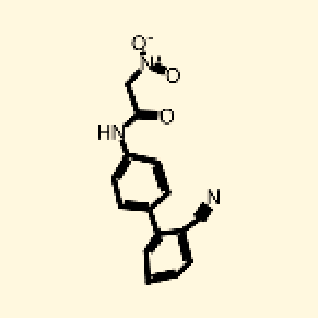 N#Cc1ccccc1-c1ccc(NC(=O)C[N+](=O)[O-])cc1